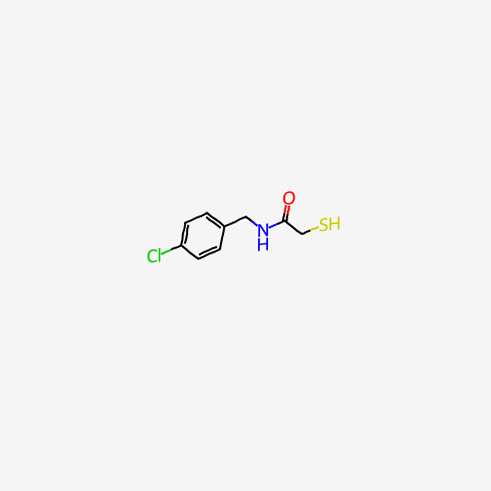 O=C(CS)NCc1ccc(Cl)cc1